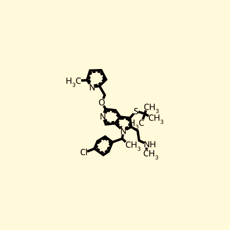 CNCCc1c(SC(C)(C)C)c2cc(OCc3cccc(C)n3)ncc2n1C(C)c1ccc(Cl)cc1